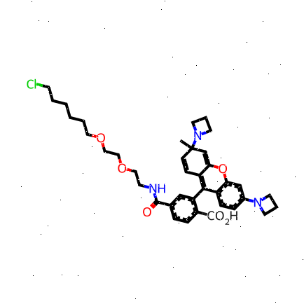 CC1(N2CCC2)C=CC2=C(c3cc(C(=O)NCCOCCOCCCCCCCl)ccc3C(=O)O)c3ccc(N4CCC4)cc3OC2=C1